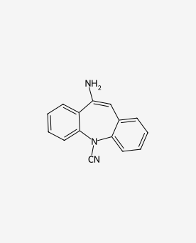 N#CN1c2ccccc2C=C(N)c2ccccc21